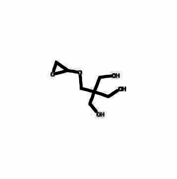 OCC(CO)(CO)COC1CO1